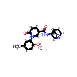 COc1ccc(C)cc1-n1cc(C(=O)NC2CN3CCC2CC3)ccc1=O